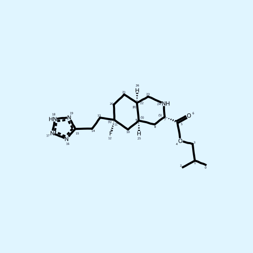 CC(C)COC(=O)[C@@H]1C[C@H]2C[C@@](F)(CCc3nn[nH]n3)CC[C@H]2CN1